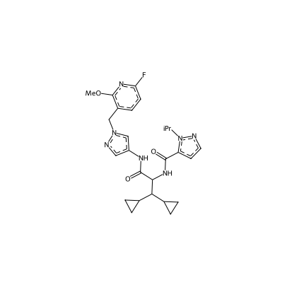 COc1nc(F)ccc1Cn1cc(NC(=O)C(NC(=O)c2ccnn2C(C)C)C(C2CC2)C2CC2)cn1